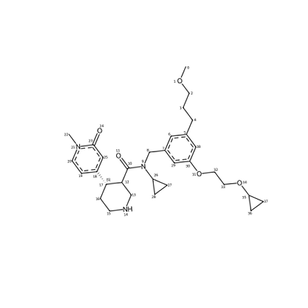 COCCCc1cc(CN(C(=O)C2CNCC[C@@H]2c2ccn(C)c(=O)c2)C2CC2)cc(OCCOC2CC2)c1